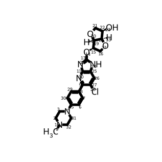 CN1CCN(c2ccc(-c3nc4nc(O[C@@H]5CO[C@H]6[C@@H]5OC[C@H]6O)[nH]c4cc3Cl)cc2)CC1